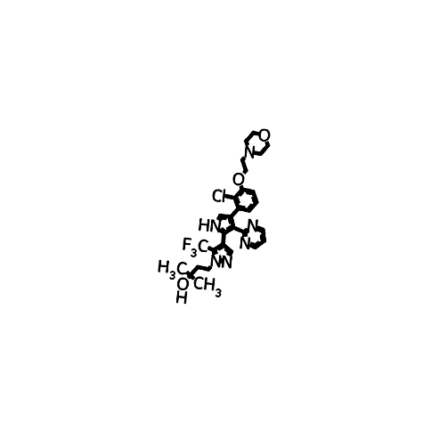 CC(C)(O)CCn1ncc(-c2[nH]cc(-c3cccc(OCCN4CCOCC4)c3Cl)c2-c2ncccn2)c1C(F)(F)F